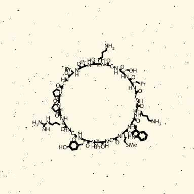 CSCC[C@@H]1NC(=O)CNC(=O)[C@H](C(C)C)NC(=O)[C@H](Cc2ccc(O)cc2)NC(=O)CNC(=O)[C@H](CCCNC(=N)N)NC(=O)[C@@H]2CCCN2C(=O)[C@H]2CCCN2C(=O)CNC(=O)C(C(C)C)NC(=O)C(C(C)C)NC(=O)[C@H](CCCCN)NC(=O)CNC(=O)[C@H](CO)NC(=O)[C@H](CC(C)C)NC(=O)CNC(=O)[C@H](CCCCN)NC(=O)[C@H](Cc2c[nH]c3ccccc23)NC1=O